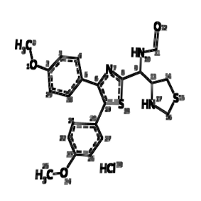 COc1ccc(-c2nc(C(NC=O)C3CSCN3)sc2-c2ccc(OC)cc2)cc1.Cl